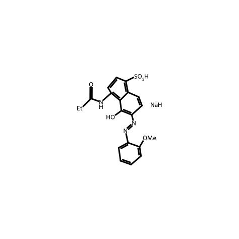 CCC(=O)Nc1ccc(S(=O)(=O)O)c2ccc(N=Nc3ccccc3OC)c(O)c12.[NaH]